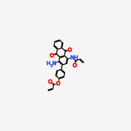 C=CC(=O)Nc1cc(-c2ccc(OC(=O)C=C)cc2)c(N)c2c1C(=O)c1ccccc1C2=O